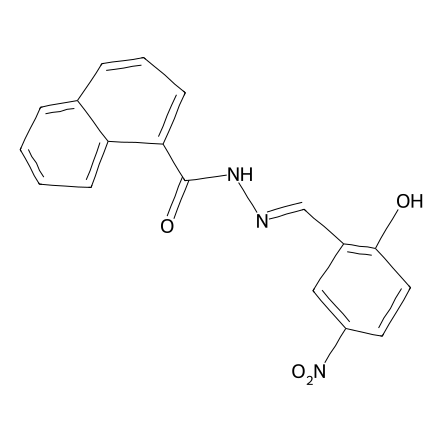 O=C(N/N=C/c1cc([N+](=O)[O-])ccc1O)c1cccc2ccccc12